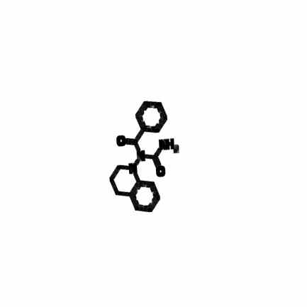 NC(=O)N(C(=O)c1ccccc1)N1CCCc2ccccc21